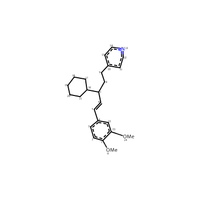 COc1ccc(C=CC(C[CH]c2ccncc2)C2CCCCC2)cc1OC